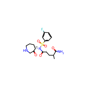 CC(C[CH]C(=O)N([C@H]1CCCNCC1=O)S(=O)(=O)c1cccc(F)c1)C(N)=O